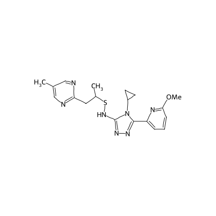 COc1cccc(-c2nnc(NSC(C)Cc3ncc(C)cn3)n2C2CC2)n1